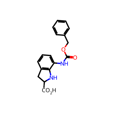 O=C(Nc1cccc2c1NC(C(=O)O)C2)OCc1ccccc1